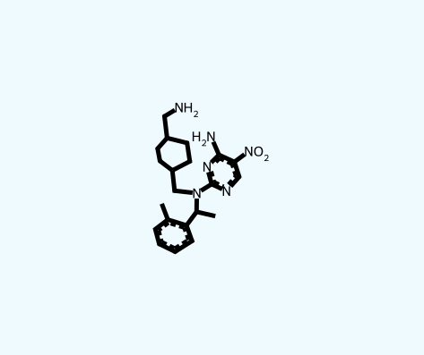 Cc1ccccc1C(C)N(CC1CCC(CN)CC1)c1ncc([N+](=O)[O-])c(N)n1